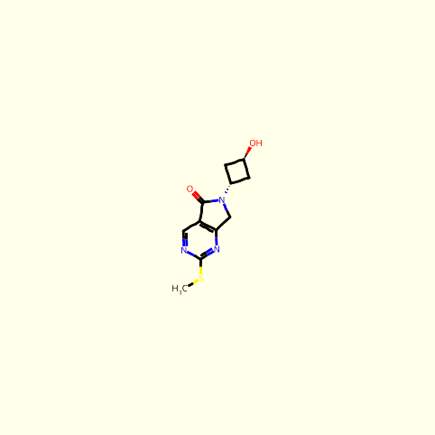 CSc1ncc2c(n1)CN([C@H]1C[C@H](O)C1)C2=O